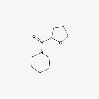 O=C(C1CCCO1)N1CCCCC1